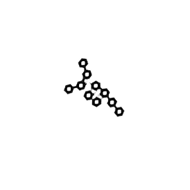 c1ccc(-c2ccc(-c3ccc4c(c3)[Si](c3ccccc3)(c3ccccc3)c3cc(-n5c6ccc(-c7ccccc7)cc6c6cc(-c7ccccc7)ccc65)ccc3-4)cc2)cc1